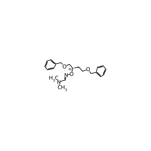 CN(C)C=NO[C@H](CCOCc1ccccc1)COCc1ccccc1